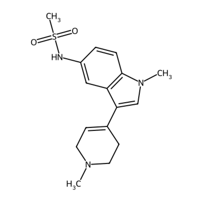 CN1CC=C(c2cn(C)c3ccc(NS(C)(=O)=O)cc23)CC1